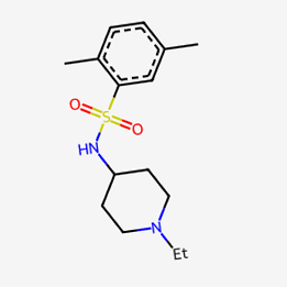 CCN1CCC(NS(=O)(=O)c2cc(C)ccc2C)CC1